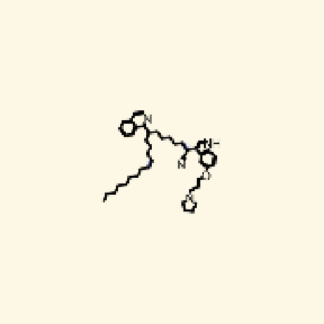 CCCCCCCC/C=C\CCCC(CCCC/C=C(\C#N)c1c[nH]c2ccc(OCCCN3CCCC3)cc12)c1nccc2ccccc12